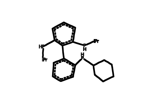 CC(C)Pc1cccc(PC(C)C)c1-c1ccccc1PC1CCCCC1